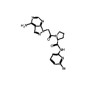 Nc1ncnc2c1cnn2CC(=O)N1CCC[C@H]1C(=O)Nc1cccc(Br)n1